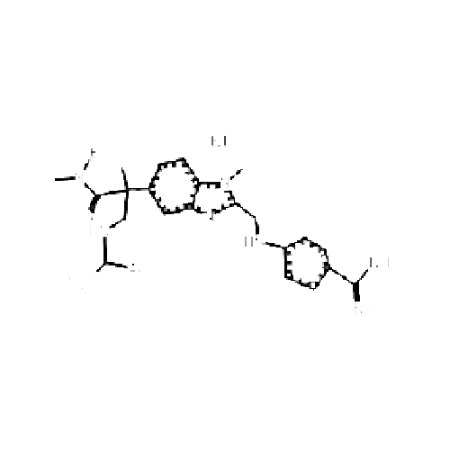 CCOC(=O)C(NCC(C)(C(=O)N(C)CC)c1ccc2c(c1)nc(CNc1ccc(C(=N)N)cc1)n2C)C(C)=O.Cl